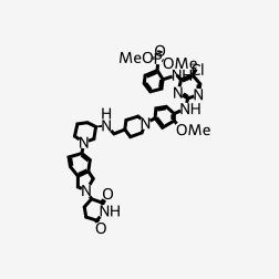 COc1cc(N2CCC(CN[C@@H]3CCCN(c4ccc5c(c4)CN(C4CCC(=O)NC4=O)C5)C3)CC2)ccc1Nc1ncc(Cl)c(Nc2ccccc2P(=O)(OC)OC)n1